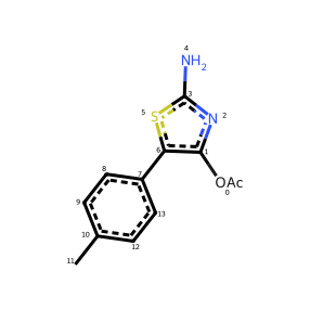 CC(=O)Oc1nc(N)sc1-c1ccc(C)cc1